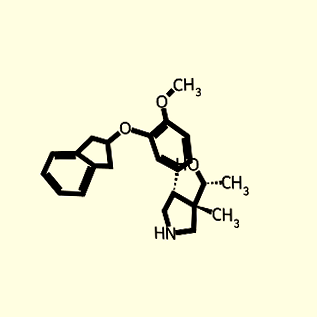 COc1ccc([C@H]2CNC[C@@]2(C)[C@@H](C)O)cc1OC1Cc2ccccc2C1